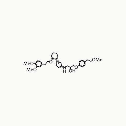 COCCc1ccc(OCC(O)CN[C@@H]2CCN([C@H]3CCCC[C@H]3OCCc3ccc(OC)c(OC)c3)C2)cc1